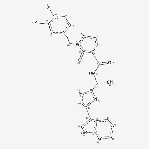 C[C@@H](NC(=O)c1cccn(Cc2ccc(F)c(F)c2)c1=O)c1nc(-c2c[nH]c3ncccc23)cs1